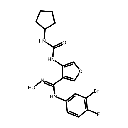 O=C(Nc1cocc1/C(=N/O)Nc1ccc(F)c(Br)c1)NC1CCCC1